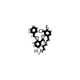 NCCCN(Cc1ccc(F)c(Cl)c1)C(=O)c1ccccc1OCc1ccccc1